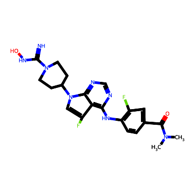 CN(C)C(=O)c1ccc(Nc2ncnc3c2c(F)cn3C2CCN(C(=N)NO)CC2)c(F)c1